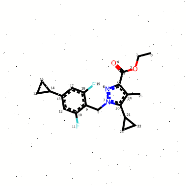 CCOC(=O)c1nn(Cc2c(F)cc(C3CC3)cc2F)c(C2CC2)c1C